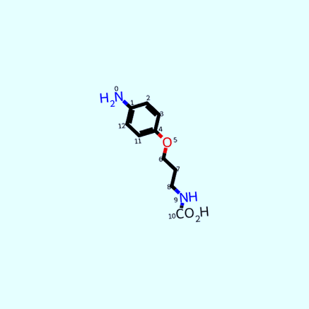 Nc1ccc(OCCCNC(=O)O)cc1